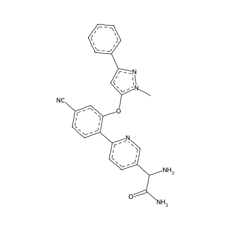 Cn1nc(-c2ccccc2)cc1Oc1cc(C#N)ccc1-c1ccc(C(N)C(N)=O)cn1